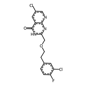 O=c1[nH]c(COCCc2ccc(F)c(Cl)c2)nc2ncc(Cl)cc12